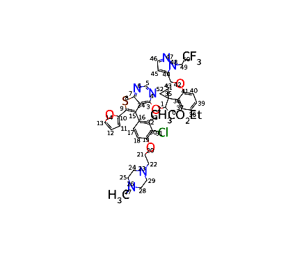 CCOC(=O)C(Oc1ncnc2sc(-c3ccco3)c(-c3ccc(OCCN4CCN(C)CC4)c(Cl)c3C)c12)C1(c2ccccc2OCc2ccnn2CC(F)(F)F)CC1